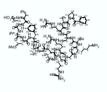 CC[C@H](C)[C@H](NC(=O)[C@H](CCCCN)NC(=O)CNC(=O)[C@H](CCCNC(=N)N)NC(=O)[C@H](CCCNC(=N)N)NC(=O)[C@H](CC(N)=O)NC(=O)[C@@H](NC(=O)[C@H](CC(C)C)NC(=O)[C@H](Cc1ccccc1)NC(=O)[C@H](CCSC)NC(=O)[C@@H](NC(=O)[C@H](CCC(=O)O)NC(=O)[C@H](CC(C)C)NC(C)=O)C(C)C)C(C)C)C(=O)N[C@@H](CS)C(=O)N[C@@H](CCCNC(=N)N)C(=O)N[C@H](C(=O)N1CCC[C@H]1C(=O)c1ccccc1)C(C)C